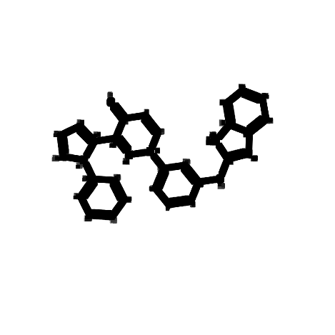 O=c1ccn(-c2cccc(Oc3nc4ccccc4[nH]3)c2)nc1-c1ccnn1-c1ccccc1